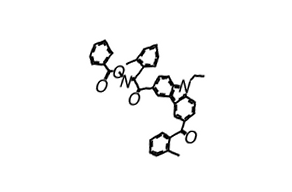 CCn1c2ccc(C(=O)/C(=N/OC(=O)c3ccccc3)c3ccccc3C)cc2c2cc(C(=O)c3ccccc3C)ccc21